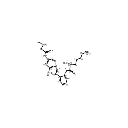 CNCC(=O)Nc1ccc(/N=N/c2ccccc2OC(=O)[C@@H](N)CCCCN)c(N)n1